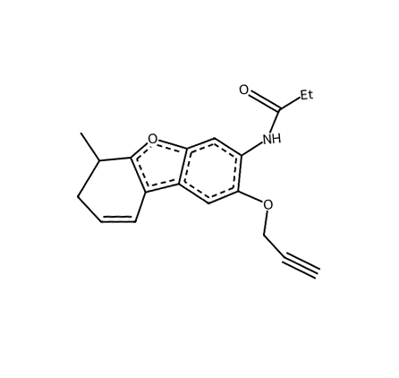 C#CCOc1cc2c3c(oc2cc1NC(=O)CC)C(C)CC=C3